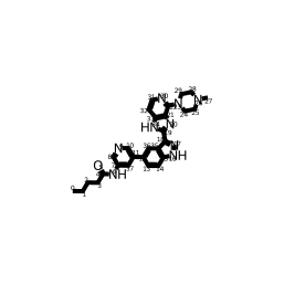 CCCCC(=O)Nc1cncc(-c2ccc3[nH]nc(-c4nc5c(N6CCN(C)CC6)nccc5[nH]4)c3c2)c1